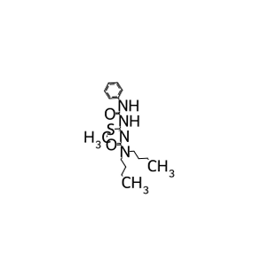 CCCCN(CCCC)C(=O)N=C(NC(=O)Nc1ccccc1)SC